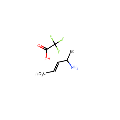 CCC(N)C=CC(=O)O.O=C(O)C(F)(F)F